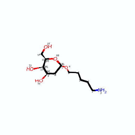 NCCCCCO[C@H]1C[C@@H](O)[C@@H](O)[C@@H](CO)O1